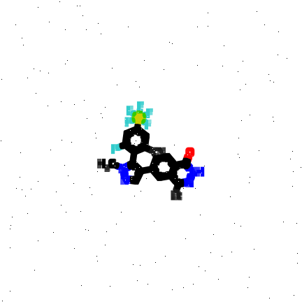 CCc1n[nH]c(=O)c2ccc(-c3cnn(C)c3-c3c(F)cc(S(F)(F)(F)(F)F)cc3C#N)cc12